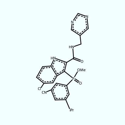 [C-]#[N+]c1cc(C(C)C)cc(P(=O)(OC)c2c(C(=O)NCc3cncnc3)[nH]c3ccc(Cl)cc23)c1